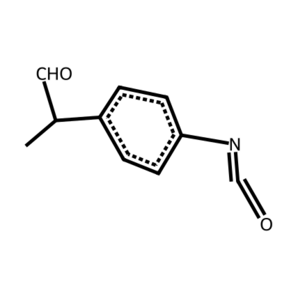 CC(C=O)c1ccc(N=C=O)cc1